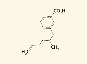 C=CCCC(C)Cc1cccc(C(=O)O)c1